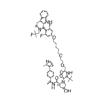 Cc1ncsc1-c1ccc([C@H](C)NC(=O)[C@@H]2C[C@@H](O)CN2C(=O)[C@@H](NC(=O)COCCOCCCCCOc2cc(F)c([C@@H]3c4[nH]c5ccccc5c4C[C@@H](C)N3CC(C)(C)F)c(F)c2)C(C)(C)C)cc1